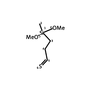 CO[Si](C)(CCC=S)OC